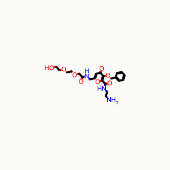 NCCNC(=O)c1oc(CNC(=O)COCCOCCO)cc(=O)c1OCc1ccccc1